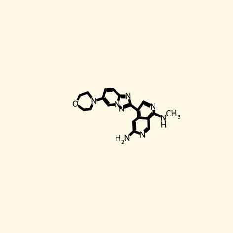 CNc1ncc(-c2nc3ccc(N4CCOCC4)cn3n2)c2cc(N)ncc12